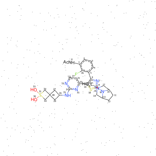 CC(=O)Nc1cccc(-c2nc(N3C4CCC3CN(C(=O)O)C4)sc2-c2ccnc(NC3CC4(C3)CS(O)(O)C4)n2)c1F